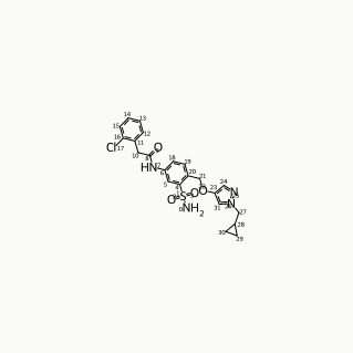 NS(=O)(=O)c1cc(NC(=O)Cc2ccccc2Cl)ccc1COc1cnn(CC2CC2)c1